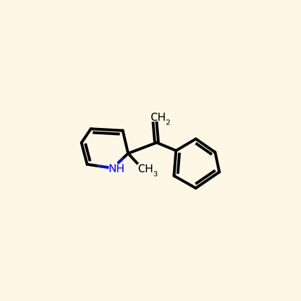 C=C(c1ccccc1)C1(C)C=CC=CN1